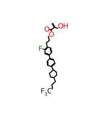 C=C(CO)C(=O)OCCCc1ccc(-c2ccc(C3CCC(CCCC(F)(F)F)CC3)cc2)cc1F